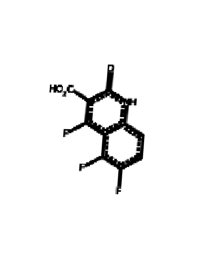 O=C(O)c1c(F)c2c(F)c(F)ccc2[nH]c1=O